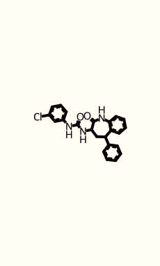 O=C(Nc1cccc(Cl)c1)NC1CC(c2ccccc2)c2ccccc2NC1=O